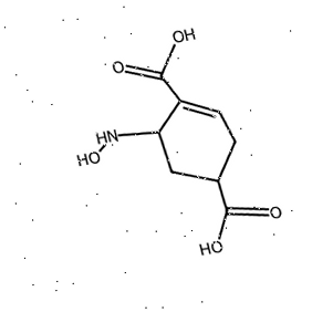 O=C(O)C1=CCC(C(=O)O)CC1NO